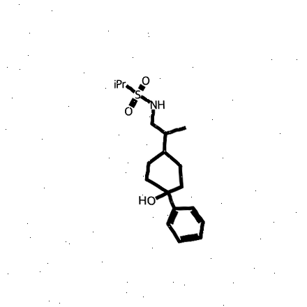 CC(CNS(=O)(=O)C(C)C)C1CCC(O)(c2ccccc2)CC1